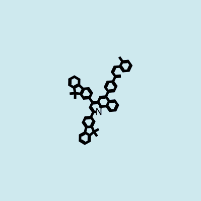 C=C(/C=C\c1ccccc1C)c1ccc(-c2cc3c(-c4ccc5c(c4)C(C)(C)C4=C5CCC=C4)cc(-c4ccc5c(c4)C(C)(C)c4ccccc4-5)nc3c3ccccc23)cc1